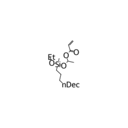 C=CC(=O)OC(C)O[Si](C)(CCCCCCCCCCCCC)OCC